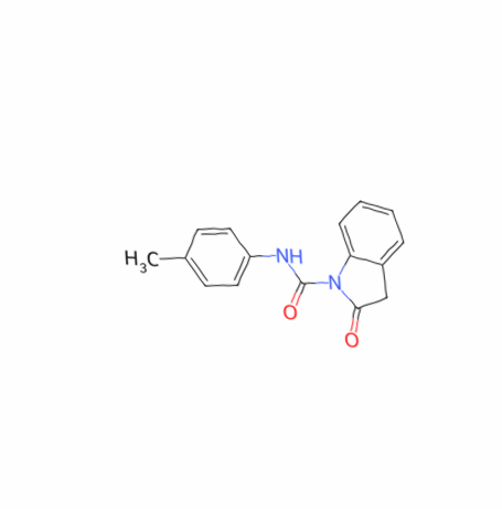 Cc1ccc(NC(=O)N2C(=O)Cc3ccccc32)cc1